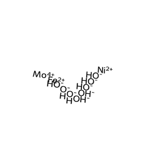 [Fe+2].[Mo+4].[Ni+2].[OH-].[OH-].[OH-].[OH-].[OH-].[OH-].[OH-].[OH-]